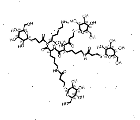 NCCCC[C@@H](C(=O)O)N(C(=O)CCS[C@H]1O[C@H](CO)[C@@H](O)[C@H](O)[C@@H]1O)C(=O)[C@H](CCCCNC(=O)CCS[C@H]1O[C@H](CO)[C@@H](O)[C@H](O)[C@@H]1O)NC(=O)[C@H](CCCCNC(=O)CCS[C@H]1O[C@H](CO)[C@@H](O)[C@H](O)[C@@H]1O)NC(=O)CCS[C@H]1O[C@H](CO)[C@@H](O)[C@H](O)[C@@H]1O